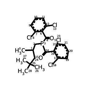 CC(CP(C(=O)c1c(Cl)cccc1Cl)C(=O)c1c(Cl)cccc1Cl)CC(C)(C)C